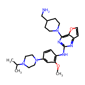 COc1cc(N2CCN(C(C)C)CC2)ccc1Nc1nc(N2CCC(CN)CC2)c2occc2n1